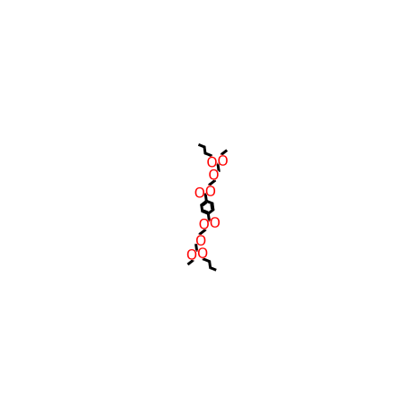 CCCCOC(COCCOC(=O)c1ccc(C(=O)OCCOCC(OCC)OCCCC)cc1)OCC